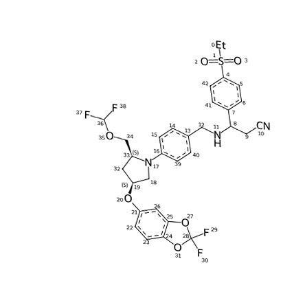 CCS(=O)(=O)c1ccc(C(CC#N)NCc2ccc(N3C[C@@H](Oc4ccc5c(c4)OC(F)(F)O5)C[C@H]3COC(F)F)cc2)cc1